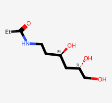 CCC(=O)NCC[C@@H](O)C[C@H](O)CO